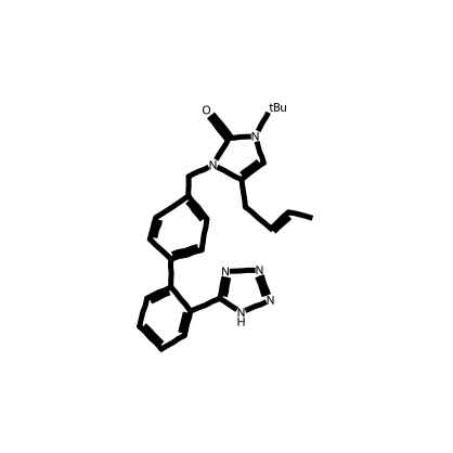 C/C=C/Cc1cn(C(C)(C)C)c(=O)n1Cc1ccc(-c2ccccc2-c2nnn[nH]2)cc1